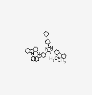 CC1(C)c2ccccc2-c2ccc(-c3nc(-c4ccc(-c5ccccc5)cc4)nc(-c4ccc5c6ccccc6n(-c6cccc7c8ccccc8n(-c8ccccc8)c67)c5c4)n3)cc21